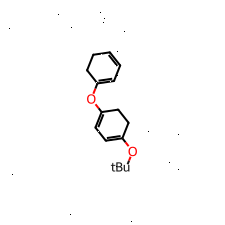 CC(C)(C)OC1=CC=C(OC2=CC=CCC2)CC1